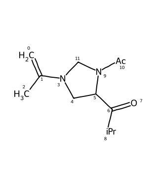 C=C(C)N1CC(C(=O)C(C)C)N(C(C)=O)C1